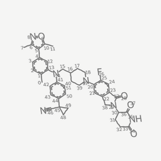 Cc1ccc(-c2c(C)noc2C)cc1N(CC1CCN(c2cc3c(cc2F)C(=O)N(C2CCC(=O)NC2=O)C3)CC1)c1ccc(C2(C#N)CC2)cc1